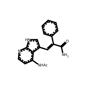 CC(=O)Nc1ccnc2[nH]cc(/C=C(/C(N)=O)c3ccccc3)c12